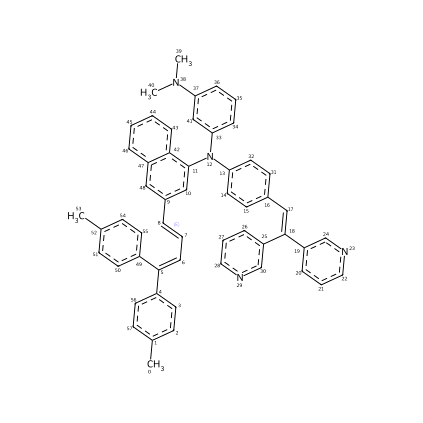 Cc1ccc(C(=C/C=C/c2cc(N(c3ccc(C=C(c4cccnc4)c4cccnc4)cc3)c3cccc(N(C)C)c3)c3ccccc3c2)c2ccc(C)cc2)cc1